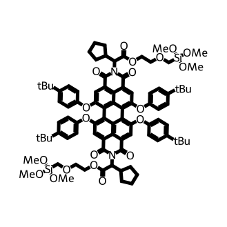 CO[Si](COCCOC(=O)C(C1CCCC1)N1C(=O)c2cc(Oc3ccc(C(C)(C)C)cc3)c3c4c(Oc5ccc(C(C)(C)C)cc5)cc5c6c(cc(Oc7ccc(C(C)(C)C)cc7)c(c7c(Oc8ccc(C(C)(C)C)cc8)cc(c2c37)C1=O)c64)C(=O)N(C(C(=O)OCCOC[Si](OC)(OC)OC)C1CCCC1)C5=O)(OC)OC